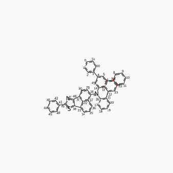 c1ccc(-c2cc(-c3ccccc3)cc(N(c3ccccc3-c3ccccc3)c3ccc4c5c(cccc35)-c3sc(-c5ccccc5)nc3-4)c2)cc1